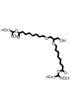 CCCCCCCCC(CCCCCCCC)OC(=O)CCCCCCCOCC(CO)OCCCCCCCC(=O)OC(CCCCCCCC)CCCCCCCC